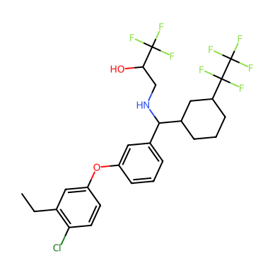 CCc1cc(Oc2cccc(C(NCC(O)C(F)(F)F)C3CCCC(C(F)(F)C(F)(F)F)C3)c2)ccc1Cl